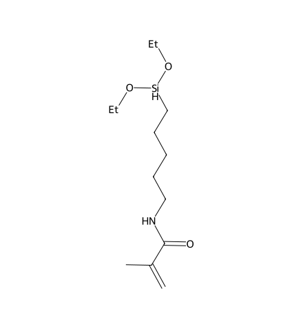 C=C(C)C(=O)NCCCCC[SiH](OCC)OCC